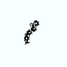 CC(C)N1CCC(OC2CCN(c3ccnc(C(=O)N4CCCCC4)c3)CC2)CC1